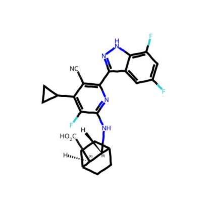 N#Cc1c(-c2n[nH]c3c(F)cc(F)cc23)nc(N[C@@H]2C3CCC(CC3)[C@H]2C(=O)O)c(F)c1C1CC1